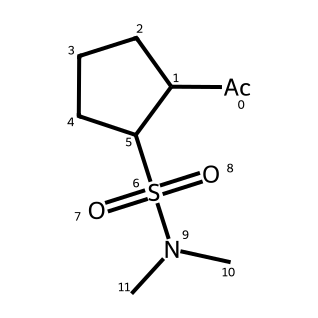 CC(=O)C1CCCC1S(=O)(=O)N(C)C